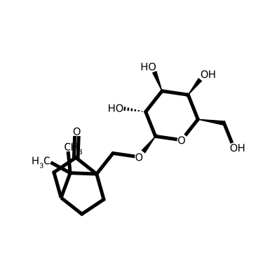 CC1(C)C2CCC1(CO[C@@H]1O[C@H](CO)[C@H](O)[C@H](O)[C@H]1O)C(=O)C2